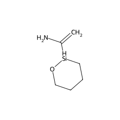 C=C(N)[SiH]1CCCCO1